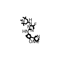 COc1ccc(Nc2ncc(F)c(NC3CC(C)(C)N(C)C(C)(C)C3)n2)cc1-c1cccnc1